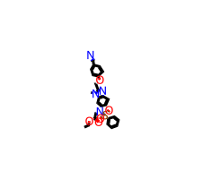 CCOC(=O)CN(c1ccc2nc(COc3ccc(C#N)cc3)n(C)c2c1)S(=O)(=O)c1ccccc1